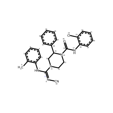 Cc1ccccc1N/C(=N/C#N)N1CCN(C(=O)Nc2ccccc2Cl)C(c2ccccc2)C1